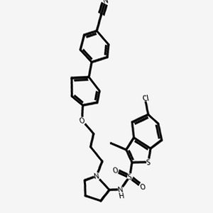 Cc1c(S(=O)(=O)NC2CCCN2CCCOc2ccc(-c3ccc(C#N)cc3)cc2)sc2ccc(Cl)cc12